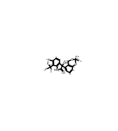 O=C1Nc2c(ccc(F)c2C(F)(F)F)C1(O)c1cccc2c1COC(F)(F)O2